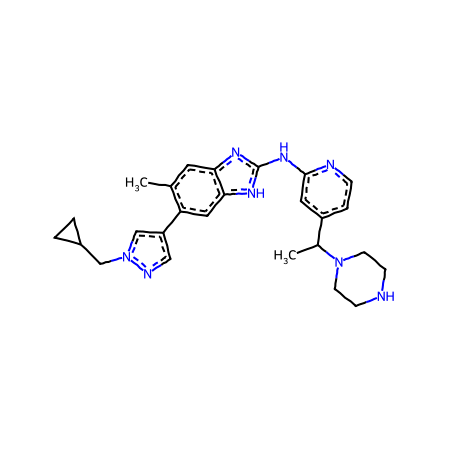 Cc1cc2nc(Nc3cc(C(C)N4CCNCC4)ccn3)[nH]c2cc1-c1cnn(CC2CC2)c1